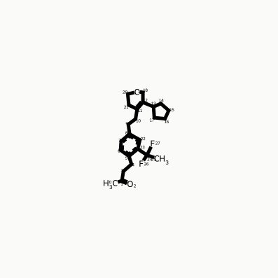 CC(=O)CCc1ccc(CCC2=C(C3CCCC3)CCCC2)cc1C(C)(F)F